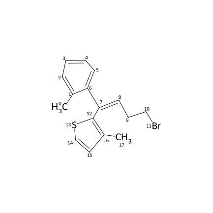 Cc1ccccc1/C(=C/CCBr)c1sccc1C